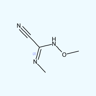 C/N=C(/C#N)NOC